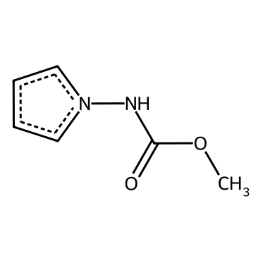 COC(=O)Nn1cccc1